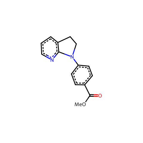 COC(=O)c1ccc(N2CCc3cccnc32)cc1